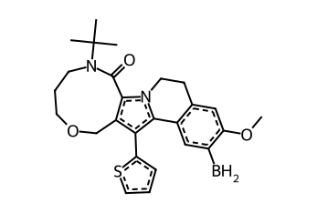 Bc1cc2c(cc1OC)CCn1c3c(c(-c4cccs4)c1-2)COCCCN(C(C)(C)C)C3=O